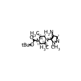 C[C@@H]1CN(c2c(N)cnn2C)[C@H](C)CN1C(=O)OC(C)(C)C